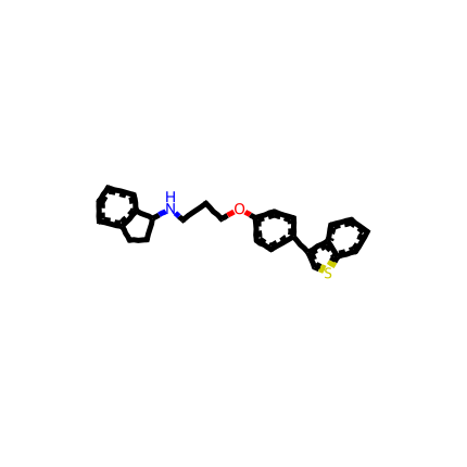 c1ccc2c(c1)CCC2NCCCOc1ccc(-c2csc3ccccc23)cc1